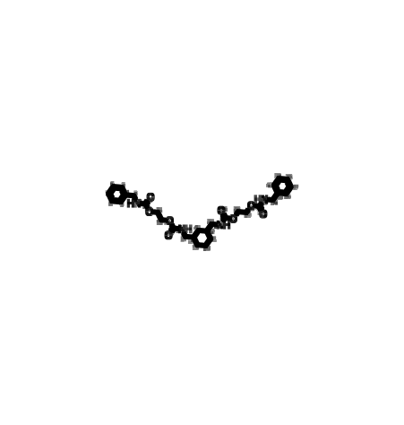 O=C(NCc1ccccc1)OCCOC(=O)NCC1CCCC(CNC(=O)OCCOC(=O)NCc2ccccc2)C1